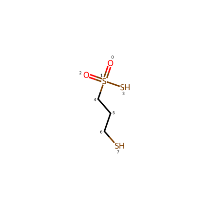 O=S(=O)(S)CCCS